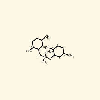 CCCCCC[Si](C)(OC1CC(C)CCC1C(C)C)OC1CC(C)CCC1C(C)C